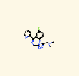 CN(C)Cc1nnc2n1-c1ccc(F)cc1C(c1ccccn1)=NC2